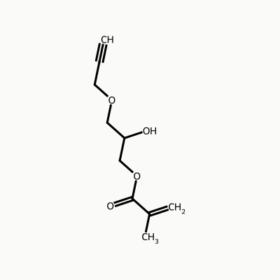 C#CCOCC(O)COC(=O)C(=C)C